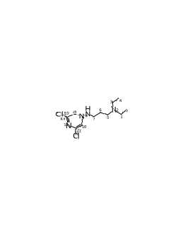 CCN(CC)CCCNN1C=C(Cl)N=C(Cl)C1